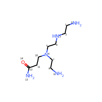 NCCNCCN(CCN)CCC(N)=O